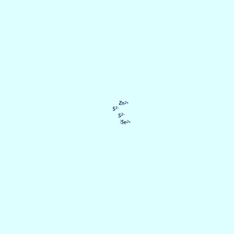 [S-2].[S-2].[Se+2].[Zn+2]